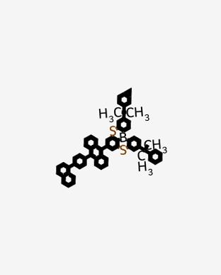 CC(C)(c1ccccc1)c1ccc2c(c1)Sc1cc(-c3c4ccccc4c(-c4ccc(-c5cccc6ccccc56)cc4)c4ccccc34)cc3c1B2c1ccc(C(C)(C)c2ccc4c(c2)C4)cc1S3